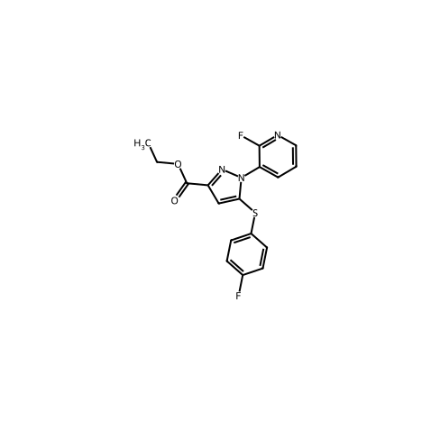 CCOC(=O)c1cc(Sc2ccc(F)cc2)n(-c2cccnc2F)n1